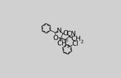 C=C(C#N)[C@H](c1ccccc1Cl)[C@]1(C)OC(c2ccccc2)=NC1=O